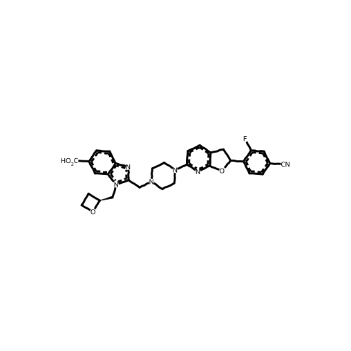 N#Cc1ccc(C2Cc3ccc(N4CCN(Cc5nc6ccc(C(=O)O)cc6n5C[C@@H]5CCO5)CC4)nc3O2)c(F)c1